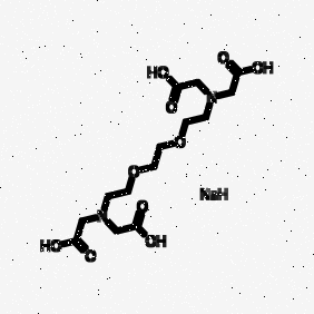 O=C(O)CN(CCOCCOCCN(CC(=O)O)CC(=O)O)CC(=O)O.[NaH]